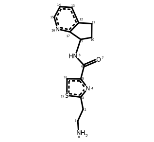 NCCc1nc(C(=O)NC2CCc3cccnc32)cs1